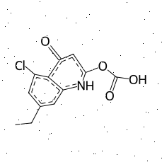 CCc1cc(Cl)c2c(=O)cc(OC(=O)O)[nH]c2c1